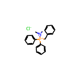 CN(C)[P+](Cc1ccccc1)(c1ccccc1)c1ccccc1.[Cl-]